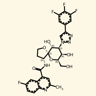 Cc1cc(C(=O)N[C@@H]2CCO[C@]23O[C@H](CO)[C@H](O)[C@H](n2cc(-c4cc(F)c(F)c(F)c4)nn2)[C@H]3O)c2cc(F)ccc2n1